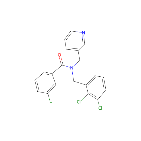 O=C(c1cccc(F)c1)N(Cc1cccnc1)Cc1cccc(Cl)c1Cl